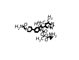 Cc1c(-c2c(C)c3cc(C4CCN(CC(N)=O)CC4)ccc3n2C(=O)OC(C)OC(=O)C2(N)CC2)cn2ncnc2c1C